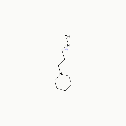 O/N=C/CCN1CCCCC1